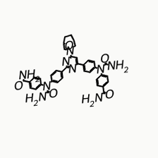 NC(=O)c1ccc(N(C(N)=O)c2ccc(-c3cc(N4CC5CCC(C4)O5)nc(-c4ccc(N(C(N)=O)c5ccc(C(N)=O)cc5)cc4)n3)cc2)cc1